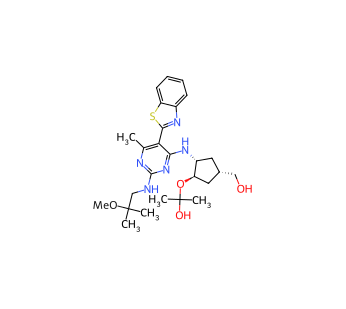 COC(C)(C)CNc1nc(C)c(-c2nc3ccccc3s2)c(N[C@@H]2C[C@H](CO)C[C@H]2OC(C)(C)O)n1